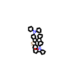 c1ccc(N(c2ccccc2)c2ccc3c(c2)C2(c4ccccc4-c4ccc(-n5c6ccccc6c6ccccc65)cc42)c2c-3sc3ccccc23)cc1